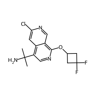 CC(C)(N)c1cnc(OC2CC(F)(F)C2)c2cnc(Cl)cc12